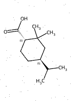 CC(C)[C@H]1CC[C@H](C(=O)O)C(C)(C)C1